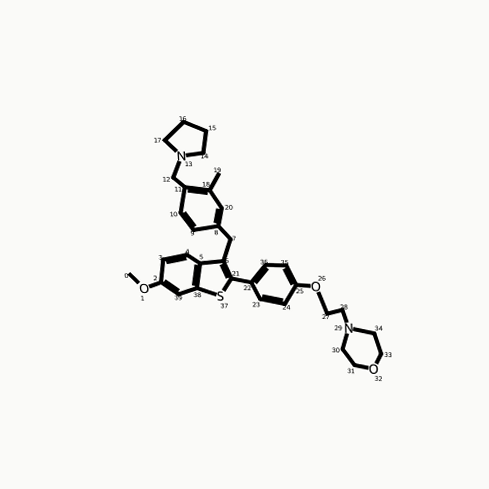 COc1ccc2c(Cc3ccc(CN4CCCC4)c(C)c3)c(-c3ccc(OCCN4CCOCC4)cc3)sc2c1